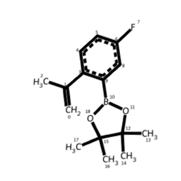 C=C(C)c1ccc(F)cc1B1OC(C)(C)C(C)(C)O1